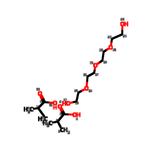 CC(C)C(=O)O.CC(C)C(=O)O.OCCOCCOCCOCCO